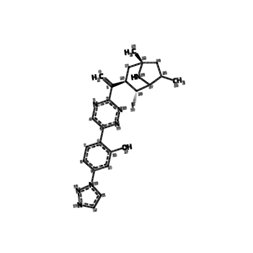 C=C(c1ncc(-c2ccc(-n3ccnn3)cc2O)nn1)[C@H]1C[C@]2(C)CC(C)C(N2)[C@@H]1F